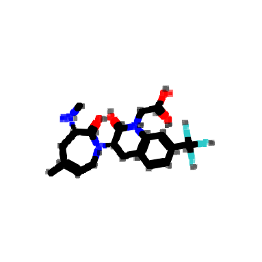 CN[C@H]1CC(C)=CCN([C@H]2Cc3ccc(C(F)(F)F)cc3N(CC(=O)O)C2=O)C1=O